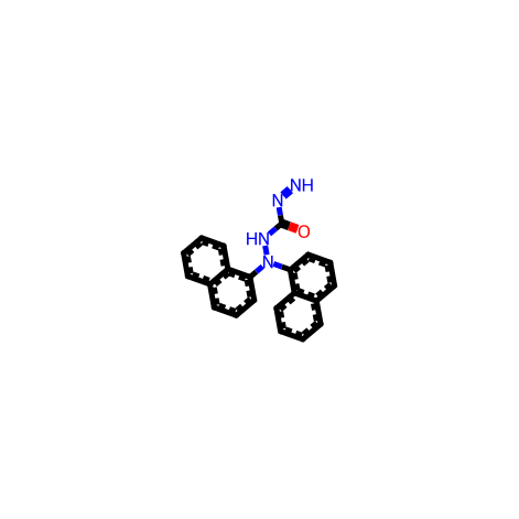 N=NC(=O)NN(c1cccc2ccccc12)c1cccc2ccccc12